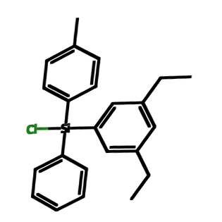 CCc1cc(CC)cc([Si](Cl)(c2ccccc2)c2ccc(C)cc2)c1